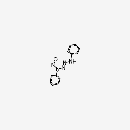 O=NN(N=NNc1ccccc1)c1ccccc1